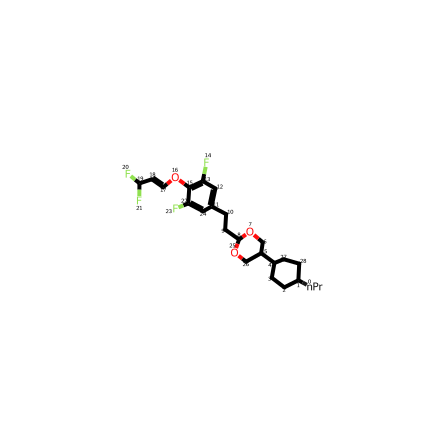 CCCC1CCC(C2COC(CCc3cc(F)c(O/C=C/C(F)F)c(F)c3)OC2)CC1